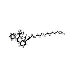 CCCCOCCOCCOCC#Cc1cccc(/C=C(\C(O)C(C)(C)C)n2cncn2)c1